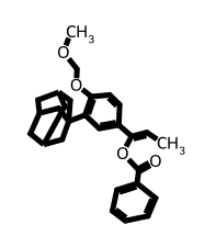 C/C=C(\OC(=O)c1ccccc1)c1ccc(OCOC)c(C23CC4CC(CC(C4)C2)C3)c1